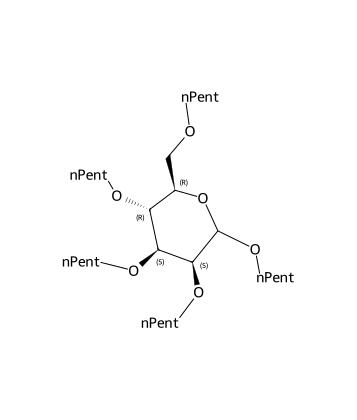 CCCCCOC[C@H]1OC(OCCCCC)[C@@H](OCCCCC)[C@@H](OCCCCC)[C@@H]1OCCCCC